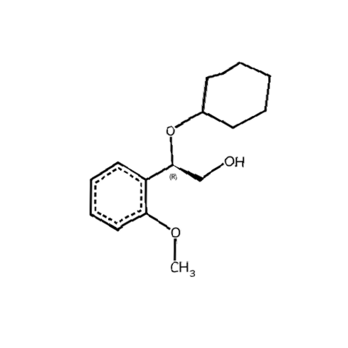 COc1ccccc1[C@H](CO)OC1CCCCC1